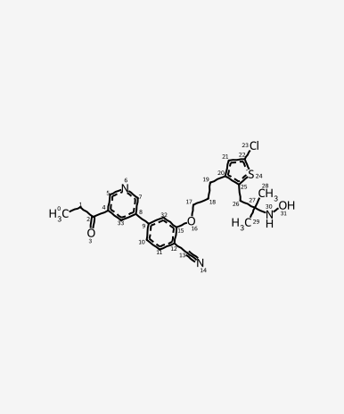 CCC(=O)c1cncc(-c2ccc(C#N)c(OCCCc3cc(Cl)sc3CC(C)(C)NO)c2)c1